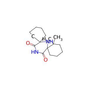 CC1(C)CCCCC12NC1(CCCCC1)C(=O)NC2=O